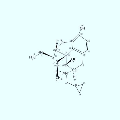 CN[C@@H]1C[C@H](C)[C@@]2(O)[C@H]3Cc4ccc(O)c5c4[C@@]2(CCN3CC2CC2)[C@H]1O5